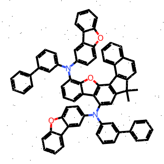 CC1(C)c2ccc3ccccc3c2-c2c1cc(N(c1cccc(-c3ccccc3)c1)c1ccc3oc4ccccc4c3c1)c1c2oc2c(N(c3cccc(-c4ccccc4)c3)c3ccc4oc5ccccc5c4c3)cccc21